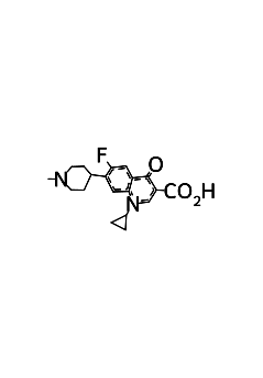 CN1CCC(c2cc3c(cc2F)c(=O)c(C(=O)O)cn3C2CC2)CC1